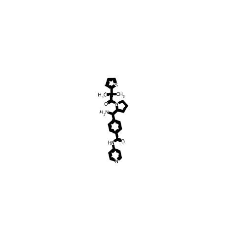 CC(C)(C(=O)N1CCCC1C(N)c1ccc(C(=O)Nc2ccncc2)cc1)c1cccs1